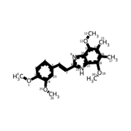 COc1ccc(/C=C/c2nc3c(OC)c(C)c(C)c(OC)c3[nH]2)cc1OC